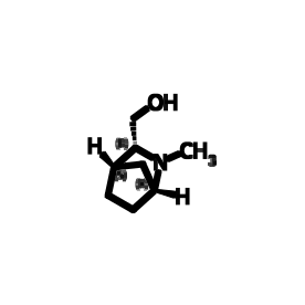 CN1[C@@H]2CC[C@@H](C2)[C@@H]1CO